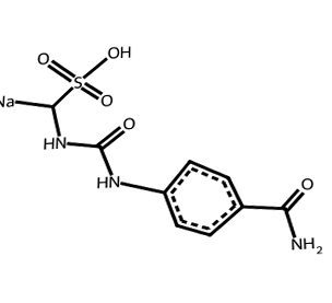 NC(=O)c1ccc(NC(=O)N[CH]([Na])S(=O)(=O)O)cc1